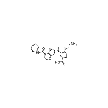 NCCOc1ccc(C(=O)O)cc1Nc1cnc2c(c1)OCCN2C(=O)Nc1ccccc1